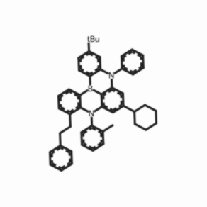 Cc1ccccc1N1c2cc(C3CCCCC3)cc3c2B(c2ccc(C(C)(C)C)cc2N3c2ccccc2)c2cccc(CCc3ccccc3)c21